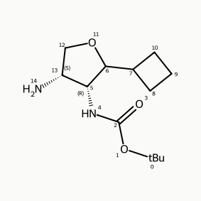 CC(C)(C)OC(=O)N[C@H]1C(C2CCC2)OC[C@H]1N